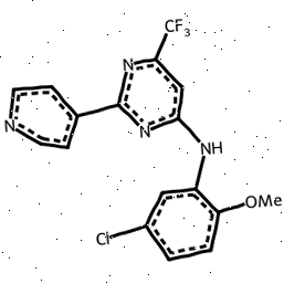 COc1ccc(Cl)cc1Nc1cc(C(F)(F)F)nc(-c2ccncc2)n1